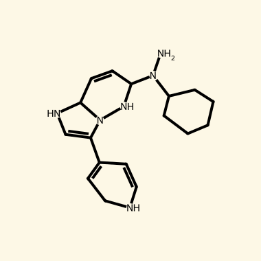 NN(C1CCCCC1)C1C=CC2NC=C(C3=CCNC=C3)N2N1